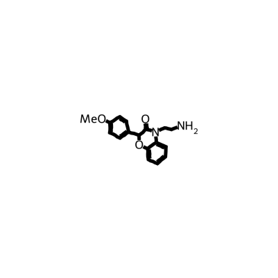 COc1ccc(C2Oc3ccccc3N(CCN)C2=O)cc1